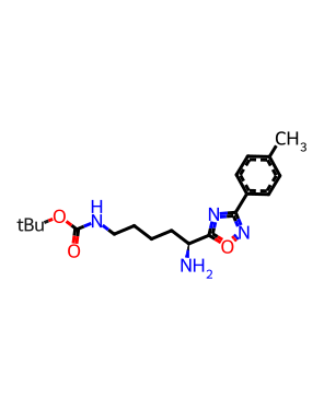 Cc1ccc(-c2noc([C@@H](N)CCCCNC(=O)OC(C)(C)C)n2)cc1